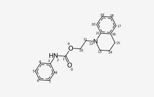 O=C(Nc1ccccc1)OCCN1CCCc2ccccc21